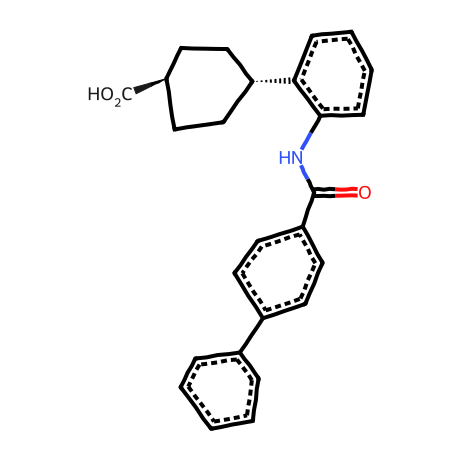 O=C(Nc1ccccc1[C@H]1CC[C@H](C(=O)O)CC1)c1ccc(-c2ccccc2)cc1